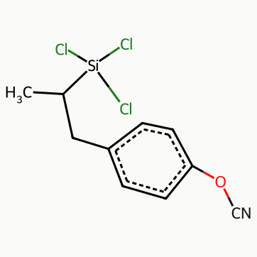 CC(Cc1ccc(OC#N)cc1)[Si](Cl)(Cl)Cl